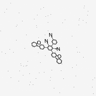 N#Cc1cccc(-c2c(C#N)c(-c3ccc4c(c3)oc3ccccc34)cc(-c3ccc4c(c3)oc3ccccc34)c2C#N)c1